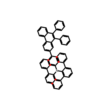 c1ccc(-c2ccccc2N(c2ccc(-c3ccc4c(c3)c(-c3ccccc3)c(-c3ccccc3)c3ccccc34)cc2)c2c(-c3ccccc3)cccc2-c2ccccc2)cc1